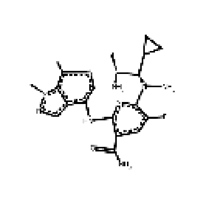 C[C@H](N)[C@@H](C1CC1)N(N)c1nc(Nc2cnc(I)c3c2cnn3C)c(C(N)=O)cc1F